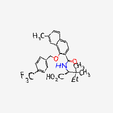 CCC(C)(C)[C@H](NC(=O)c1ccc2ccc(C)cc2c1OCc1ccc(C(F)(F)F)cc1)C(=O)O